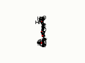 O=C1CCN(c2n[nH]c3cc(C4CCN(C(=O)CN5CCCN(c6ccc(-c7cc(F)c8c(c7)C(=O)N(C(C(=O)Nc7nccs7)c7ncn9c7CCC9)C8)cc6)CCC5)CC4(F)F)ccc23)C(=O)N1